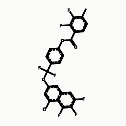 Cc1ccc(C(=O)Oc2ccc(C(F)(F)Oc3cc(Cl)c4c(F)c(F)c(F)cc4c3)cc2)c(F)c1F